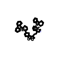 C/C=C\C(CCc1coc2oc3ccc(C4=CC=CC(n5c6ccccc6c6ccccc65)N4)cc3c12)c1cccc(-n2c3c(c4ccccc42)C=CCC3)n1